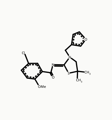 COc1ccc(Cl)cc1C(=O)/N=C1\SC(C)(C)CN1Cc1ccoc1